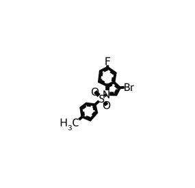 Cc1ccc(S(=O)(=O)n2cc(Br)c3cc(F)ccc32)cc1